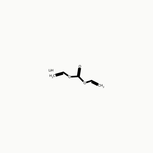 C=COC(=O)OC=C.[LiH]